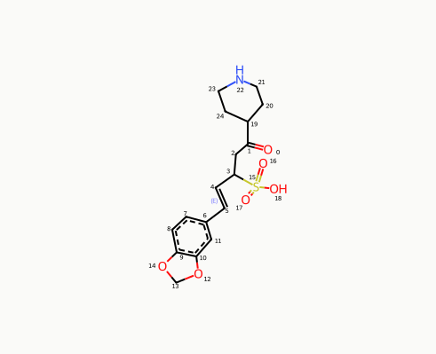 O=C(CC(/C=C/c1ccc2c(c1)OCO2)S(=O)(=O)O)C1CCNCC1